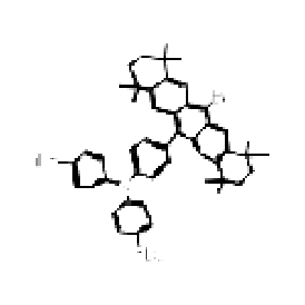 CC(C)c1ccc(N(c2ccc(-c3c4cc5c(cc4c(Br)c4cc6c(cc34)C(C)(C)CCC6(C)C)C(C)(C)CCC5(C)C)cc2)c2ccc(C(C)(C)C)cc2)cc1